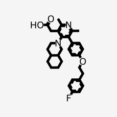 Cc1nc(C)c(-c2ccc(OCCc3ccc(F)cc3)cc2)c(N2CCC3CCCCC3C2)c1CC(=O)O